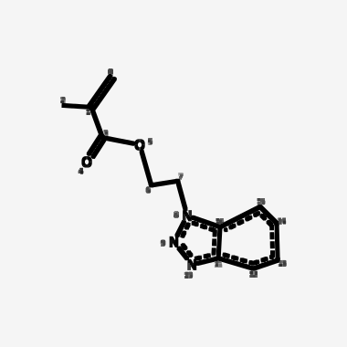 C=C(C)C(=O)OCCn1nnc2ccccc21